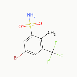 Cc1c(C(F)(F)F)cc(Br)cc1S(N)(=O)=O